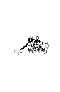 C=CCCCCOc1ccnc(C[C@]2(OCOC)C(=O)N(COC)[C@H]2CO[Si](C(C)C)(C(C)C)C(C)C)c1